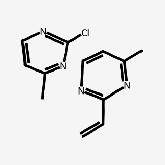 C=Cc1nccc(C)n1.Cc1ccnc(Cl)n1